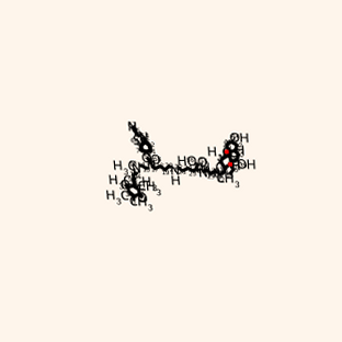 CC1=C(C)C(=O)C(C(C)(C)CCN(C)CCN(CCCCNCCCCC(NCCC[C@@H](C)[C@H]2CC[C@H]3[C@@H]4[C@@H](O)C[C@@H]5C[C@H](O)CC[C@]5(C)[C@H]4CC[C@]23C)C(=O)O)C(=O)Oc2ccc3nc(C#N)sc3c2)=C(C)C1=O